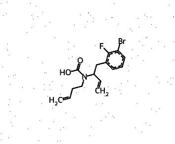 C=CCCN(C(=O)O)C(C=C)Cc1cccc(Br)c1F